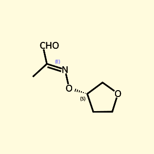 C/C(C=O)=N\O[C@H]1CCOC1